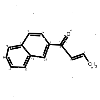 CC=CC(=O)c1ccc2ccccc2c1